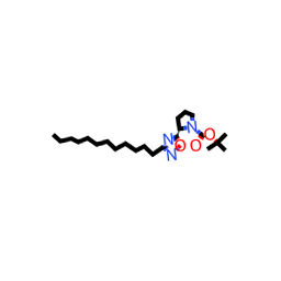 CCCCCCCCCCCCc1noc([C@@H]2CCCN2C(=O)OC(C)(C)C)n1